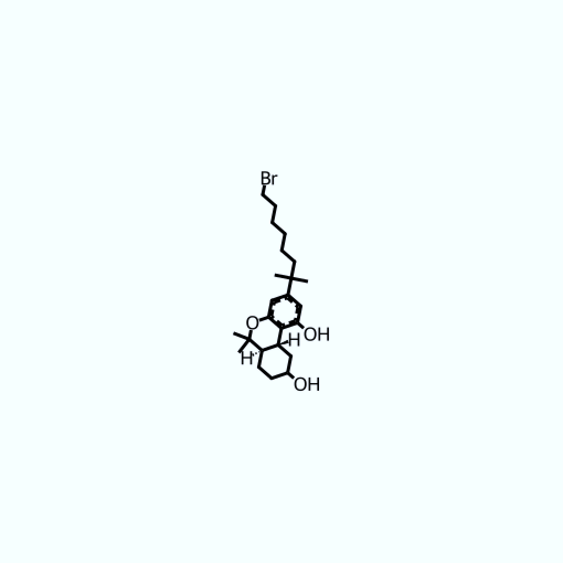 CC(C)(CCCCCCBr)c1cc(O)c2c(c1)OC(C)(C)[C@@H]1CCC(O)C[C@@H]21